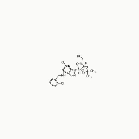 CC1(C)O[C@@H]2[C@H](O1)[C@@H](CO)O[C@H]2n1ncc2c(NCc3ccccc3Cl)nc(Cl)nc21